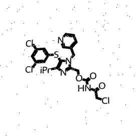 CC(C)c1nc(COC(=O)NC(=O)CCl)n(Cc2cccnc2)c1Sc1cc(Cl)cc(Cl)c1